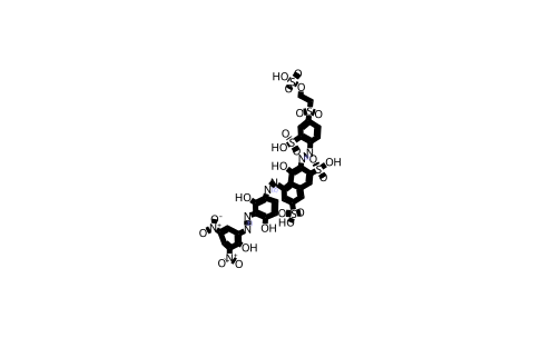 O=[N+]([O-])c1cc(/N=N/c2c(O)ccc(/N=N\c3cc(S(=O)(=O)O)cc4cc(S(=O)(=O)O)c(/N=N/c5ccc(S(=O)(=O)CCOS(=O)(=O)O)cc5S(=O)(=O)O)c(O)c34)c2O)c(O)c([N+](=O)[O-])c1